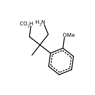 COc1ccccc1C(C)(CN)CC(=O)O